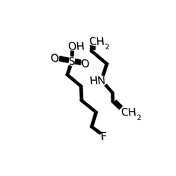 C=CCNCC=C.O=S(=O)(O)CCCCCF